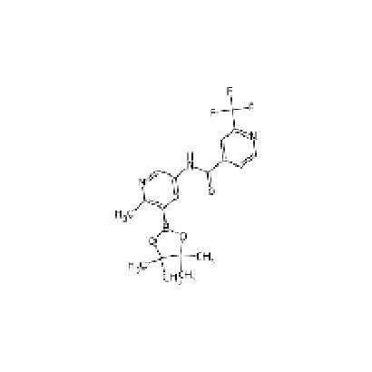 Cc1ncc(NC(=O)c2ccnc(C(F)(F)F)c2)cc1B1OC(C)(C)C(C)(C)O1